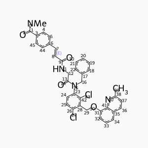 CNC(=O)c1ccc(/C=C/C(=O)NCC(=O)N(Cc2ccccc2)c2ccc(Cl)c(COc3cccc4ccc(C)nc34)c2Cl)cc1